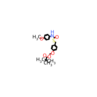 COc1ccc(NC(=O)SCc2ccc(OCOC(=O)C(C)(C)C)cc2)cc1